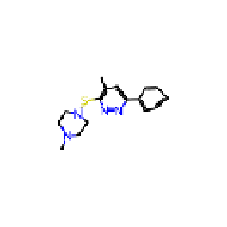 Cc1cc(-c2ccccc2)nnc1SN1CCN(C)CC1